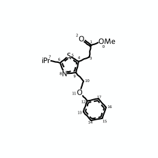 COC(=O)Cc1sc(C(C)C)nc1COc1ccccc1